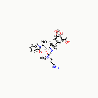 CCCCN(CCCN)C(=O)CN1C[C@H](c2cc(CO)c3c(c2)OCO3)[C@@H](C(=O)O)[C@@H]1CCN1Cc2ccccc2C1=O